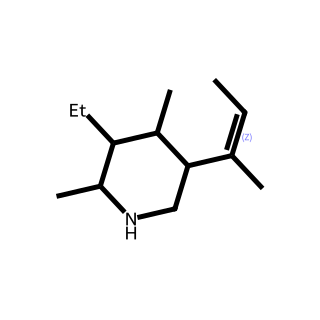 C/C=C(/C)C1CNC(C)C(CC)C1C